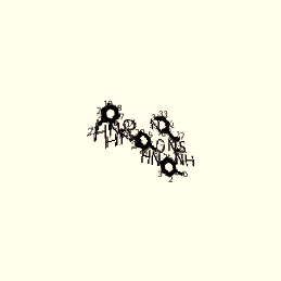 Cc1ccc(NC(=O)c2ccc(NC(=O)Nc3ccccc3I)cc2)cc1Nc1nc(-c2cccnc2)cs1